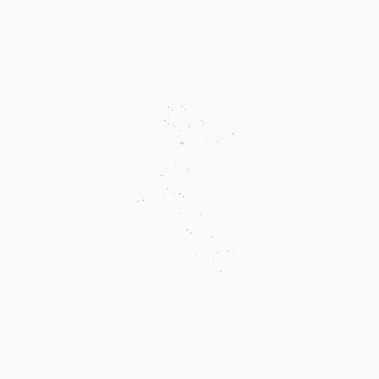 CCCCc1cc(C(=O)NC2Cc3ccccc3C2)nn1Cc1ccc(-c2ccccc2-c2nnn[nH]2)cc1